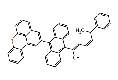 C/C(=C\C=C/C(C)c1ccccc1)c1c2ccccc2c(-c2cc3c4c(cccc4c2)Sc2ccccc2-3)c2ccccc12